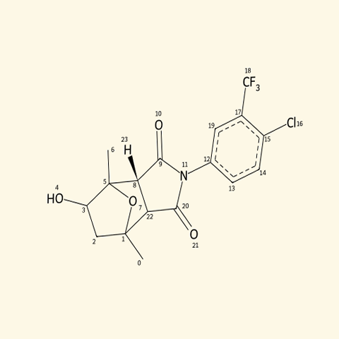 CC12CC(O)C(C)(O1)[C@@H]1C(=O)N(c3ccc(Cl)c(C(F)(F)F)c3)C(=O)C12